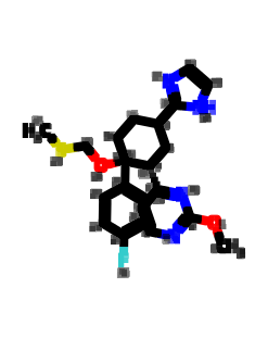 COc1nccc([C@H]2CC(c3ncc[nH]3)CC[C@@]2(OCSC)c2ccc(F)cc2)n1